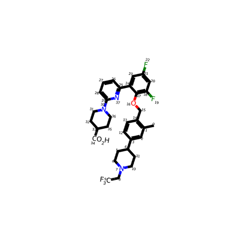 Cc1cc(C2CCN(CC(F)(F)F)CC2)ccc1COc1c(F)cc(F)cc1-c1cccc(N2CCC(C(=O)O)CC2)n1